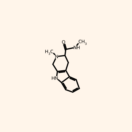 CNC(=O)C1Cc2c([nH]c3ccccc23)CN1C